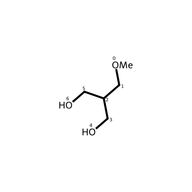 [CH2]OCC(CO)CO